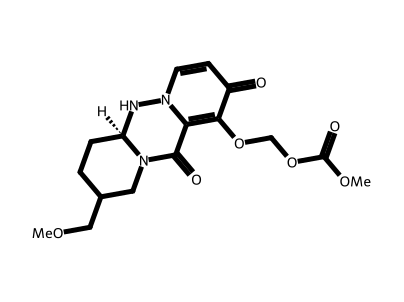 COCC1CC[C@H]2Nn3ccc(=O)c(OCOC(=O)OC)c3C(=O)N2C1